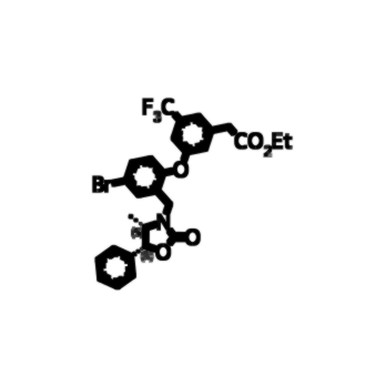 CCOC(=O)Cc1cc(Oc2ccc(Br)cc2CN2C(=O)O[C@H](c3ccccc3)[C@@H]2C)cc(C(F)(F)F)c1